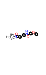 CC(C)[C@@H](C(=O)O)N1Cc2ccc(-c3ccc(NC(=O)c4ccc(Oc5ccccc5)cc4)cc3)cc2C1=O